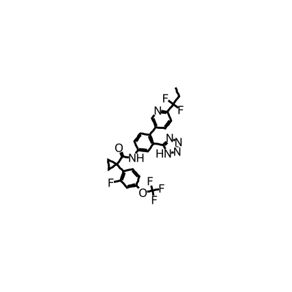 CCC(F)(F)c1ccc(-c2ccc(NC(=O)C3(c4ccc(OC(F)(F)F)cc4F)CC3)cc2-c2nnn[nH]2)cn1